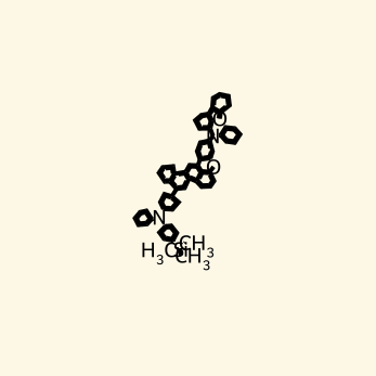 C[Si](C)(C)c1ccc(N(c2ccccc2)c2ccc(-c3cc4c5cccc6c5c(cc4c4ccccc34)-c3ccc(N(c4ccccc4)c4cccc5c4oc4ccccc45)cc3O6)cc2)cc1